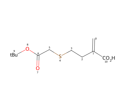 C=C(CCSCC(=O)OC(C)(C)C)C(=O)O